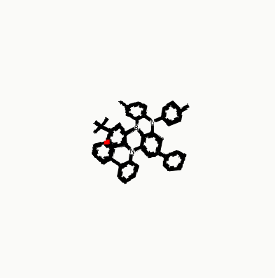 Cc1ccc(N2c3ccc(C)cc3B3c4cc(C(C)(C)C)ccc4N(c4ccccc4-c4ccccc4)c4cc(-c5ccccc5)cc2c43)cc1